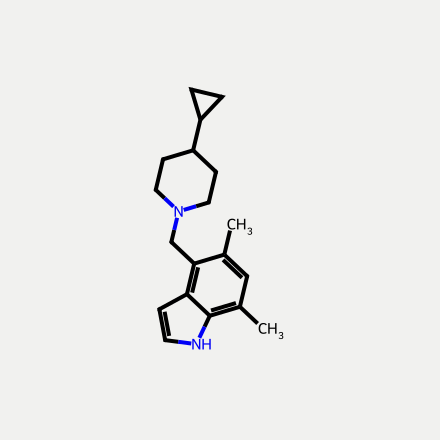 Cc1cc(C)c2[nH]ccc2c1CN1CCC(C2CC2)CC1